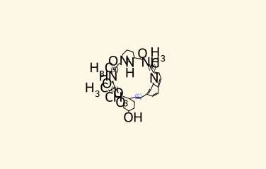 CC(C)[C@@H]1OC(=O)[C@]2(/C=C/c3ccc4ccc(nc4c3)[C@@H](C)NC(=O)C3CCCN(N3)C(=O)[C@H](C)NC1=O)CC[C@H](O)CC2